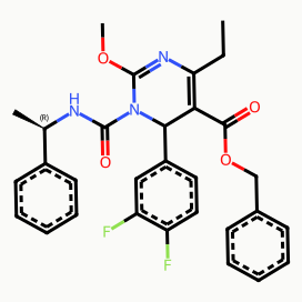 CCC1=C(C(=O)OCc2ccccc2)C(c2ccc(F)c(F)c2)N(C(=O)N[C@H](C)c2ccccc2)C(OC)=N1